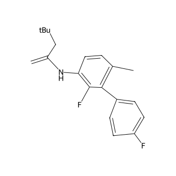 C=C(CC(C)(C)C)Nc1ccc(C)c(-c2ccc(F)cc2)c1F